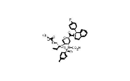 C=C[C@H](COC(=O)OC(C)(C)C)O[C@H]1CO[C@@H](C(=O)N2CCc3ccccc3[C@@H]2c2ccc(F)cc2)C[C@@H]1N(C(=O)O)S(=O)(=O)c1ccc(C)cc1